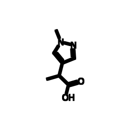 CC(C(=O)O)c1cnn(C)c1